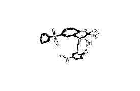 CC1(C)Oc2ccc(S(=O)(=O)c3ccccc3)cc2[C@H](n2cc([N+](=O)[O-])ccc2=O)[C@H]1O